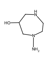 NN1CCNCC(O)C1